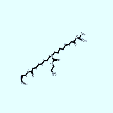 CCCCCC/C=C\COC(=O)CCCCCCCN(CCCCCCCC(=O)OC(CCCCCCCC)CCCCCCCC)C(=O)SCCN